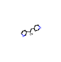 N#C/C(=C\c1ccncc1)c1cccnc1